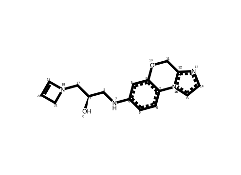 O[C@H](CNc1ccc2c(c1)OCc1nccn1-2)CN1C=CC1